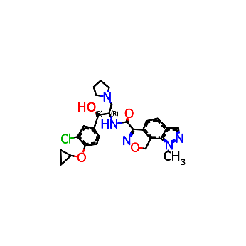 Cn1ncc2ccc3c(c21)CON=C3C(=O)N[C@H](CN1CCCC1)[C@H](O)c1ccc(OC2CC2)c(Cl)c1